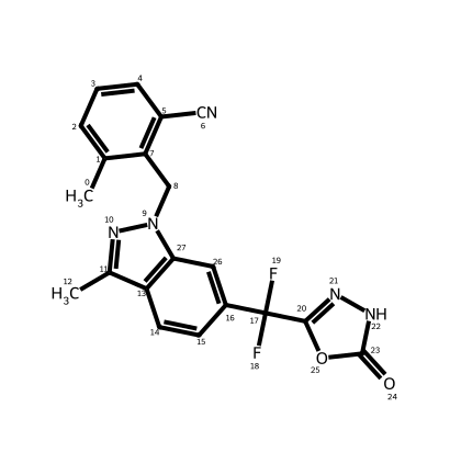 Cc1cccc(C#N)c1Cn1nc(C)c2ccc(C(F)(F)c3n[nH]c(=O)o3)cc21